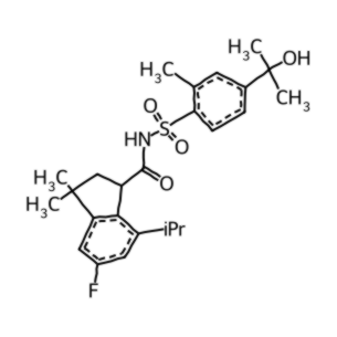 Cc1cc(C(C)(C)O)ccc1S(=O)(=O)NC(=O)C1CC(C)(C)c2cc(F)cc(C(C)C)c21